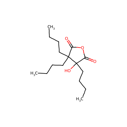 CCCCC1(O)C(=O)OC(=O)C1(CCCC)CCCC